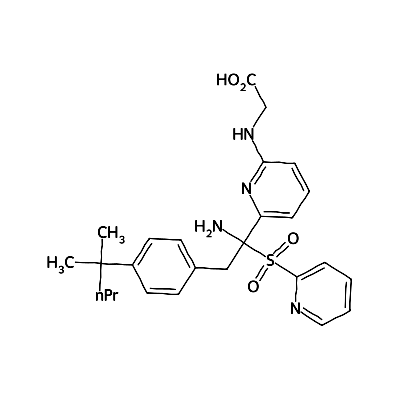 CCCC(C)(C)c1ccc(CC(N)(c2cccc(NCC(=O)O)n2)S(=O)(=O)c2ccccn2)cc1